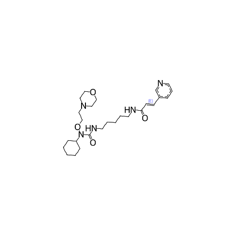 O=C(/C=C/c1cccnc1)NCCCCCNC(=O)N(OCCN1CCOCC1)C1CCCCC1